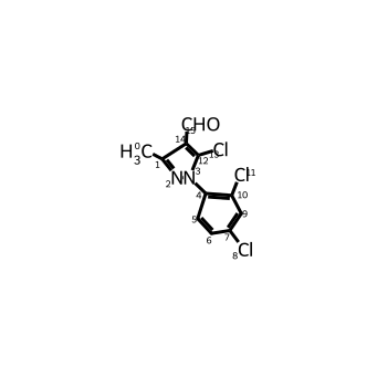 Cc1nn(-c2ccc(Cl)cc2Cl)c(Cl)c1C=O